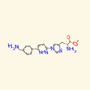 COC(=O)C(N)Cc1cn(-c2ccc(-c3ccc(CN)cc3)nn2)cn1